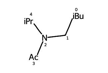 CCC(C)CN(C(C)=O)C(C)C